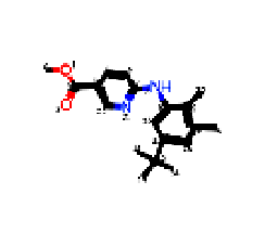 COC(=O)c1ccc(Nc2cc(C(C)(C)C)cc(C)c2C)nc1